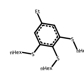 CCCCCCSc1cc(CC)cc(SCCCCCC)c1SCCCCCC